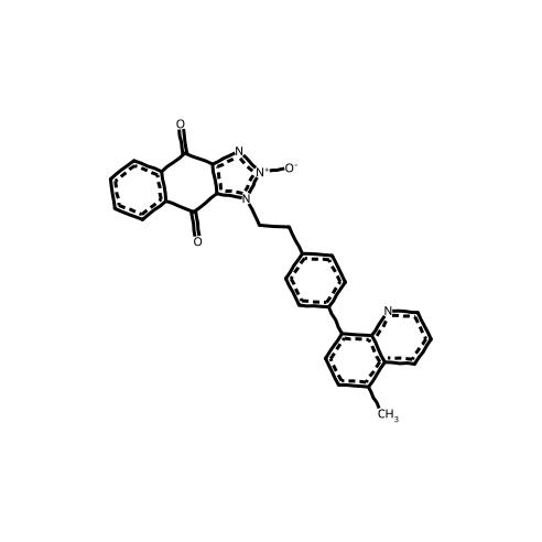 Cc1ccc(-c2ccc(CCn3c4c(n[n+]3[O-])C(=O)c3ccccc3C4=O)cc2)c2ncccc12